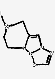 IN1CCN2C(=CN3N=CSN32)C1